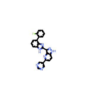 Fc1ccccc1-c1cccc2[nH]c(-c3n[nH]c4ccc(-c5cncnc5)nc34)nc12